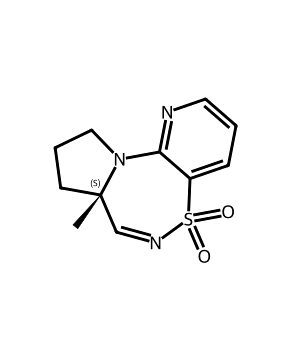 C[C@]12C=NS(=O)(=O)c3cccnc3N1CCC2